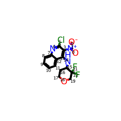 O=[N+]([O-])c1c(Cl)nc2ccccc2c1NC1CCOCC1(F)F